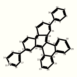 c1ccc(-c2ccc3c4ccc(-c5ccncc5)cc4c4c5ccccc5c5ccccc5c4c3c2)cc1